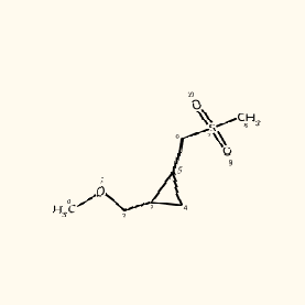 COCC1CC1CS(C)(=O)=O